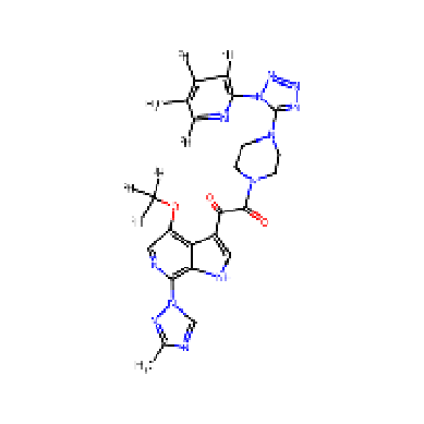 [2H]c1nc(-n2nnnc2N2CCN(C(=O)C(=O)c3c[nH]c4c(-n5cnc(C)n5)ncc(OC([2H])([2H])[2H])c34)CC2)c([2H])c([2H])c1C